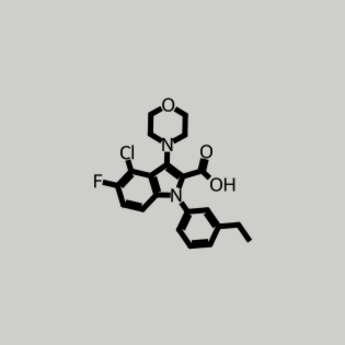 CCc1cccc(-n2c(C(=O)O)c(N3CCOCC3)c3c(Cl)c(F)ccc32)c1